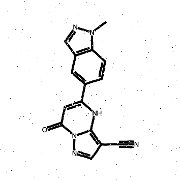 Cn1ncc2cc(-c3cc(=O)n4ncc(C#N)c4[nH]3)ccc21